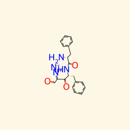 [N-]=[N+]=C(C=O)C(=O)[C@@H](Cc1ccccc1)NC(=O)[C@H](N)Cc1ccccc1